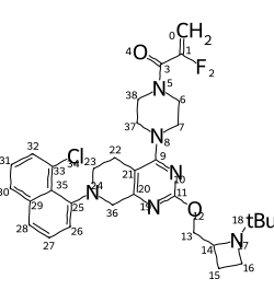 C=C(F)C(=O)N1CCN(c2nc(OCC3CCN3C(C)(C)C)nc3c2CCN(c2cccc4cccc(Cl)c24)C3)CC1